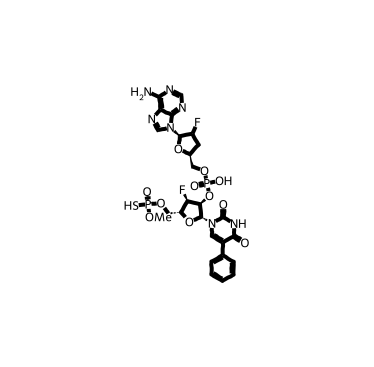 COP(=O)(S)OC[C@H]1O[C@@H](n2cc(-c3ccccc3)c(=O)[nH]c2=O)[C@H](OP(=O)(O)OC[C@@H]2CC(F)[C@H](n3cnc4c(N)ncnc43)O2)[C@@H]1F